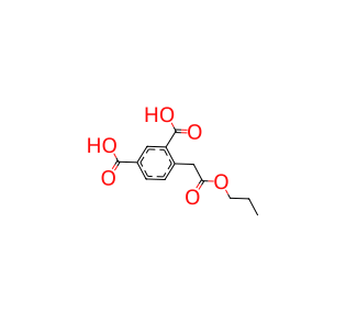 CCCOC(=O)Cc1ccc(C(=O)O)cc1C(=O)O